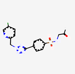 CC(=O)CNS(=O)(=O)c1ccc(-c2nnn(Cc3ccc(F)cn3)n2)cc1